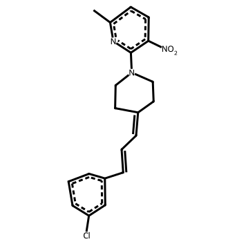 Cc1ccc([N+](=O)[O-])c(N2CCC(=CC=Cc3cccc(Cl)c3)CC2)n1